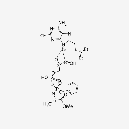 CCN(CC)CCc1nc2c(N)nc(Cl)nc2n1[C@@H]1C2O[C@H](COP(=O)(O)OP(=O)(N[C@@H](C)C(=O)OC)Oc3ccccc3)[C@H](O)C21